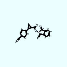 N#Cc1ccc(C2CC2C(=O)ON2C(=O)c3ccccc3C2=O)cc1